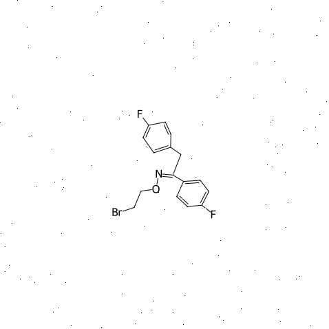 Fc1ccc(CC(=NOCCBr)c2ccc(F)cc2)cc1